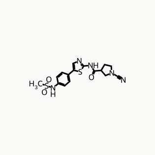 CS(=O)(=O)Nc1ccc(-c2cnc(NC(=O)C3CCN(C#N)C3)s2)cc1